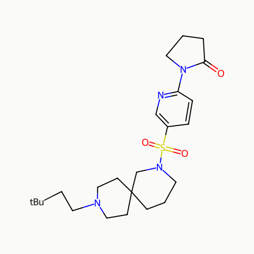 CC(C)(C)CCN1CCC2(CCCN(S(=O)(=O)c3ccc(N4CCCC4=O)nc3)C2)CC1